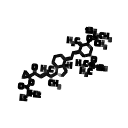 C=C1/C(=C/C=C2\CCC[C@]3(C)[C@@H]([C@H](C)/C=C/C(=O)C4(OC(=O)N(CC)CC)CC4)CC[C@@H]23)C[C@@H](O[Si](C)(C)C(C)(C)C)C[C@@H]1O[Si](C)(C)C(C)(C)C